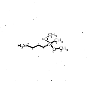 COS(C)(CCC[SiH3])OC